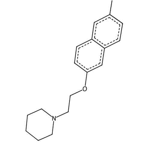 Brc1ccc2cc(OCCN3CCCCC3)ccc2c1